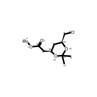 CCC(C)OC(=O)C[C@H]1C[C@@H](CCl)OC(C)(C)O1